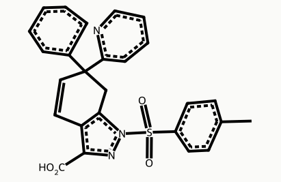 Cc1ccc(S(=O)(=O)n2nc(C(=O)O)c3c2CC(c2ccccc2)(c2ccccn2)C=C3)cc1